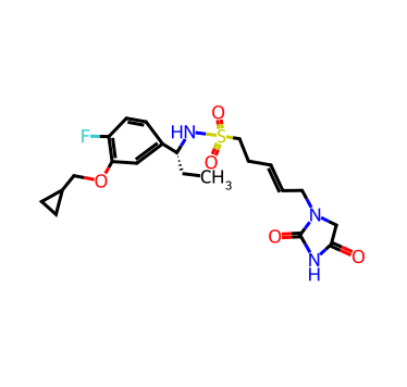 CC[C@@H](NS(=O)(=O)CC/C=C/CN1CC(=O)NC1=O)c1ccc(F)c(OCC2CC2)c1